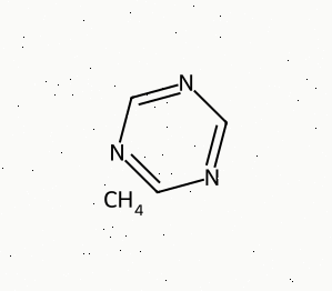 C.c1ncncn1